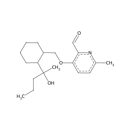 CCCC(C)(O)C1CCCCC1COc1ccc(C)nc1C=O